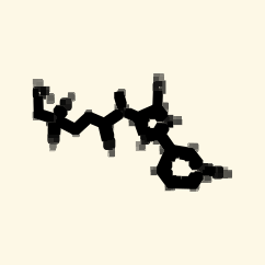 CN(C(=O)CCS(=O)(=O)CC(F)(F)F)c1sc(-c2ccc[n+]([O-])c2)nc1Cl